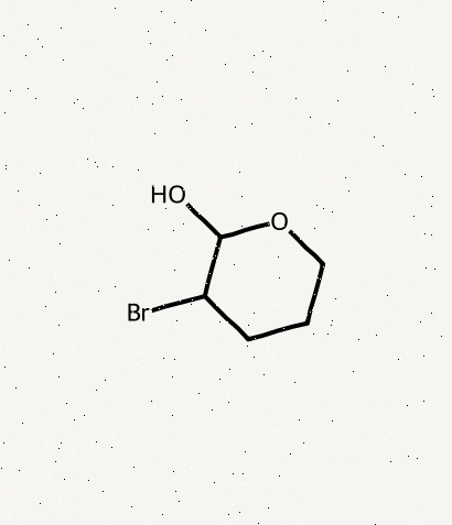 OC1OCCCC1Br